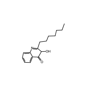 CCCCCCCC1=Nc2ccccc2C(=O)C1O